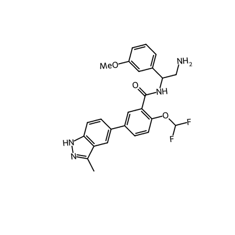 COc1cccc(C(CN)NC(=O)c2cc(-c3ccc4[nH]nc(C)c4c3)ccc2OC(F)F)c1